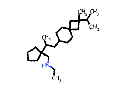 CCNCC1(C(C)CC2CCC3(CC2)CC(C)(C(C)C)C3)CCCC1